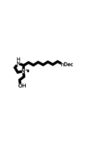 CCCCCCCCCCCCCCCCCC1NCC[N+]1(C)CCO